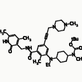 CCN(c1cc(C#CCN2CCN(C)CC2)cc(C(=O)NCc2c(C)cc(C)[nH]c2=O)c1C)C1CCC(N(C)C(=O)OC(C)(C)C)CC1